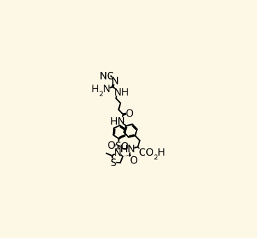 CC1SC[C@@H](C(=O)N[C@@H](Cc2ccc(NC(=O)CCCN/C(N)=N/C#N)cc2)C(=O)O)N1S(=O)(=O)c1ccccc1